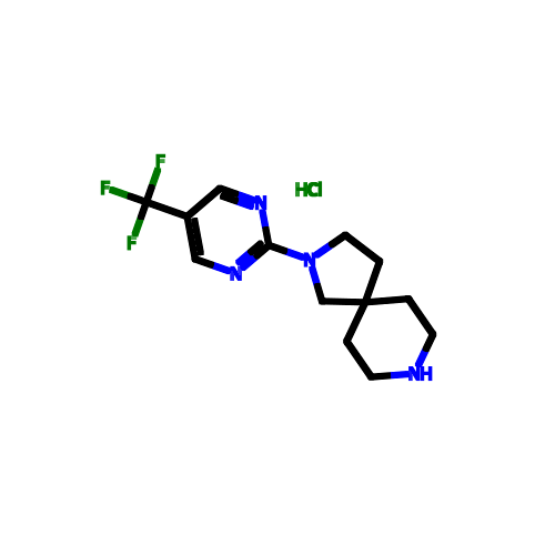 Cl.FC(F)(F)c1cnc(N2CCC3(CCNCC3)C2)nc1